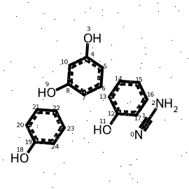 N#CN.Oc1cccc(O)c1.Oc1ccccc1.Oc1ccccc1